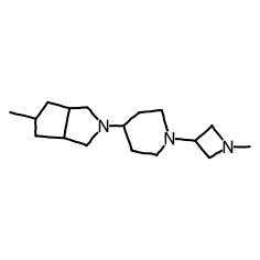 CC1CC2CN(C3CCN(C4CN(C)C4)CC3)CC2C1